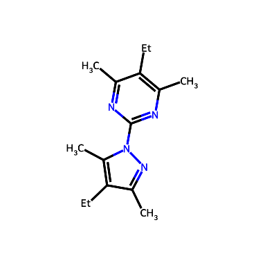 CCc1c(C)nc(-n2nc(C)c(CC)c2C)nc1C